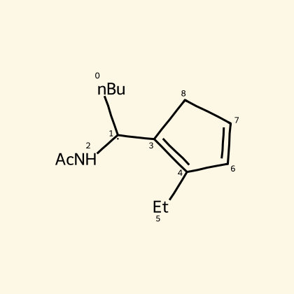 CCCC[C](NC(C)=O)C1=C(CC)C=CC1